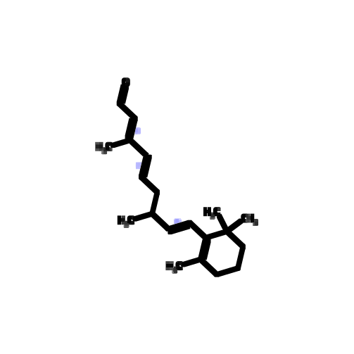 CC1=C(/C=C/C(C)C/C=C/C(C)=C/C=O)C(C)(C)CCC1